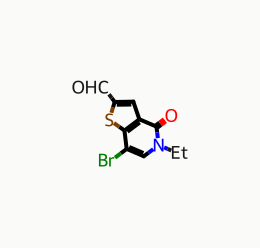 CCn1cc(Br)c2sc(C=O)cc2c1=O